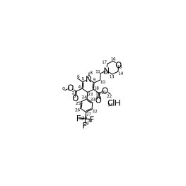 COC(=O)C1=C(C)N(C)C(CCN2CCOCC2)=C(C(=O)OC)C1c1ccc(C(F)(F)F)cc1.Cl